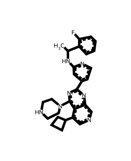 CC(Nc1cc(-c2nc(N3CCNCC3)c3c(C4CCC4)cncc3n2)ccn1)c1ccccc1F